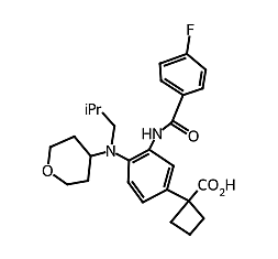 CC(C)CN(c1ccc(C2(C(=O)O)CCC2)cc1NC(=O)c1ccc(F)cc1)C1CCOCC1